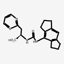 O=C(Nc1c2c(cc3c1CCC3)CCC2)N[C@H](Cc1ncccn1)C(=O)O